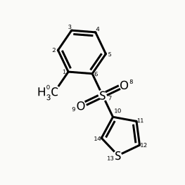 Cc1ccccc1S(=O)(=O)c1ccsc1